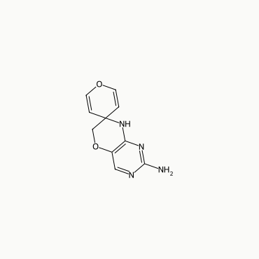 Nc1ncc2c(n1)NC1(C=COC=C1)CO2